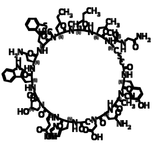 CCCC[C@H]1C(=O)N(C)[C@@H](CCCC)C(=O)N[C@@H](CC(C)C)C(=O)N[C@H](C(=O)NCC(N)=O)CSCC(=O)N[C@@H](Cc2ccc(O)cc2)C(=O)N(C)[C@@H](C)C(=O)N[C@@H](CC(N)=O)C(=O)N(CC(=O)O)CC(=O)N[C@@H](Cc2c[nH]cn2)C(=O)N[C@@H](CCC(=O)O)C(=O)N2C[C@H](O)C[C@H]2C(=O)N[C@@H](Cc2c[nH]c3ccccc23)C(=O)N[C@@H](CCN)C(=O)N[C@@H](Cc2csc3ccccc23)C(=O)N1C